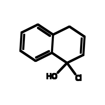 OC1(Cl)C=CCc2ccccc21